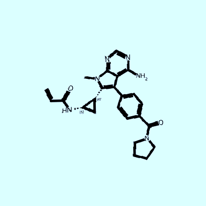 C=CC(=O)N[C@H]1C[C@H]1c1c(-c2ccc(C(=O)N3CCCC3)cc2)c2c(N)ncnc2n1C